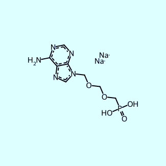 Nc1ncnc2c1ncn2COCOCP(=O)(O)O.[Na].[Na]